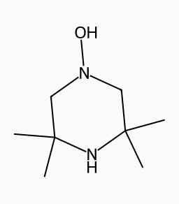 CC1(C)CN(O)CC(C)(C)N1